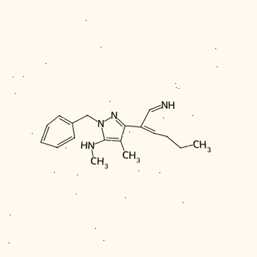 CCC/C=C(\C=N)c1nn(Cc2ccccc2)c(NC)c1C